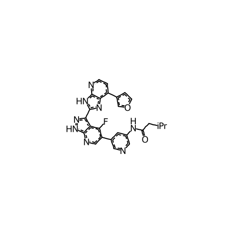 CC(C)CC(=O)Nc1cncc(-c2cnc3[nH]nc(-c4nc5c(-c6ccoc6)ccnc5[nH]4)c3c2F)c1